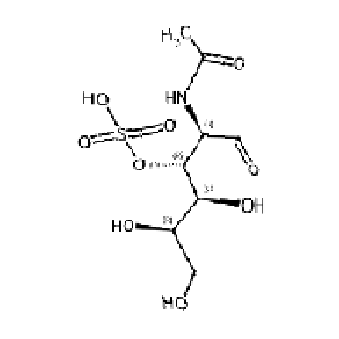 CC(=O)N[C@@H](C=O)[C@@H](OS(=O)(=O)O)[C@@H](O)[C@H](O)CO